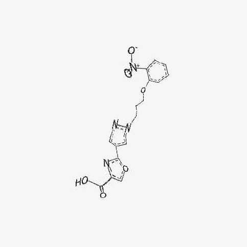 O=C(O)c1coc(-c2cnn(CCCOc3ccccc3[N+](=O)[O-])c2)n1